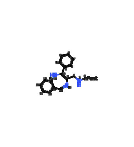 CCCCCNCC1=C(c2ccccc2)Nc2ccccc2C=N1